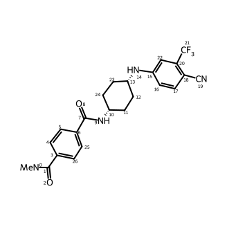 CNC(=O)c1ccc(C(=O)N[C@H]2CC[C@@H](Nc3ccc(C#N)c(C(F)(F)F)c3)CC2)cc1